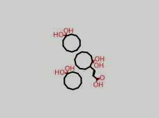 O=C(O)C=CC1CCCCCCCCC1(O)O.OC1(O)CCCCCCCCC1.OC1(O)CCCCCCCCC1